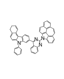 C1=Cc2c(ccc3c2c2ccc(-c4nc(-n5c6cccc7c6c6c8c(cccc8ccc65)C=C7)nc5ccccc45)cc2n3-c2ccccc2)CC1